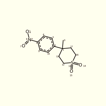 CC1(c2ccc([N+](=O)[O-])cc2)CCS(=O)(=O)CC1